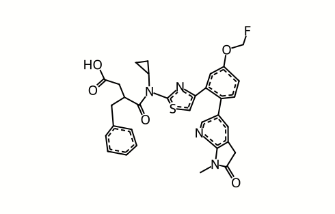 CN1C(=O)Cc2cc(-c3ccc(OCF)cc3-c3csc(N(C(=O)C(CC(=O)O)Cc4ccccc4)C4CC4)n3)cnc21